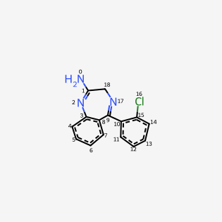 NC1=Nc2ccccc2C(c2ccccc2Cl)=NC1